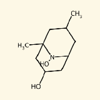 CC1CC2CC(O)CC(C)(C1)N2O